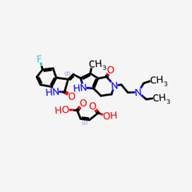 CCN(CC)CCN1CCc2[nH]c(/C=C3\C(=O)Nc4ccc(F)cc43)c(C)c2C1=O.O=C(O)/C=C\C(=O)O